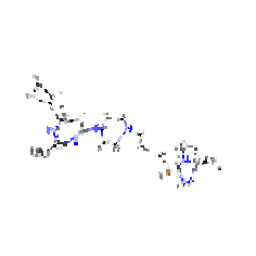 Cn1c(SCCCN2CCN(c3cc(C4CCC4)nc(C(C)(C)C)n3)CC2)nnc1C(F)(F)F